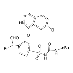 CCCCNC(=O)NS(=O)(=O)c1ccc(C(C=O)CC)cc1.O=c1[nH]cnc2ccc(Cl)cc12